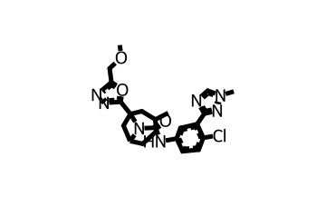 COCc1nnc(C23CC(C)CCC(C2)N3C(=O)Nc2ccc(Cl)c(-c3ncn(C)n3)c2)o1